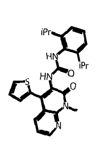 CC(C)c1cccc(C(C)C)c1NC(=O)Nc1c(-c2cccs2)c2cccnc2n(C)c1=O